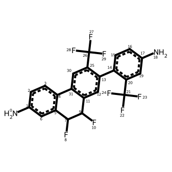 Nc1ccc2c(c1)C(F)C(F)c1cc(-c3ccc(N)cc3C(F)(F)F)c(C(F)(F)F)cc1-2